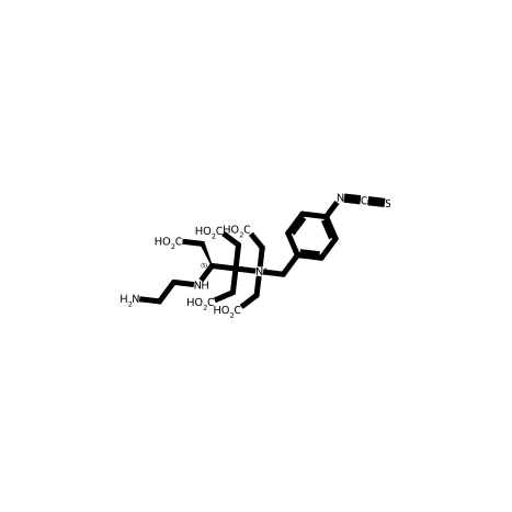 NCCN[C@@H](CC(=O)O)C(CC(=O)O)(CC(=O)O)[N+](CC(=O)O)(CC(=O)O)Cc1ccc(N=C=S)cc1